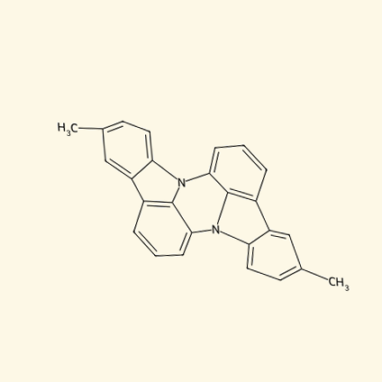 Cc1ccc2c(c1)c1cccc3c1n2c1cccc2c4cc(C)ccc4n3c21